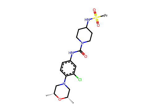 CC(C)S(=O)(=O)NC1CCN(C(=O)Nc2ccc(N3C[C@@H](C)O[C@@H](C)C3)c(Cl)c2)CC1